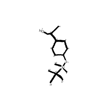 CC(O)C1CCC(O[Si](C)(C)C(C)(C)C)CC1